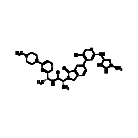 C[C@H](C(=O)N[C@H](C)c1cccc(N2CCN(C)CC2)n1)N1Cc2ccc(-c3cc(NC4=CN(C)NN4)ncc3Cl)cc2C1=O